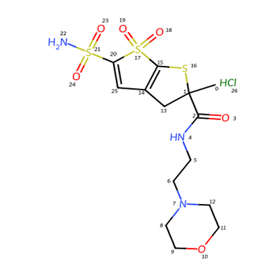 CC1(C(=O)NCCN2CCOCC2)CC2=C(S1)S(=O)(=O)C(S(N)(=O)=O)=C2.Cl